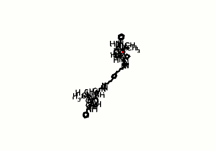 CC[C@H](NC)C(=O)N[C@@H]1C(=O)N2[C@@H](CC[C@@H]1CNC(=O)CCc1cn(CCCCc3ccc(CCCCn4cc([C@@H](NC(=O)[C@@H]5CC[C@@H]6CC[C@H](CCNCc7ccccc7)[C@H](NC(=O)[C@H](CC)NC)C(=O)N65)c5ccccc5)nn4)cc3)nn1)CC[C@H]2C(=O)NCc1ccccc1